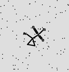 CCS(=O)(=O)C1(C(C)=O)CC1